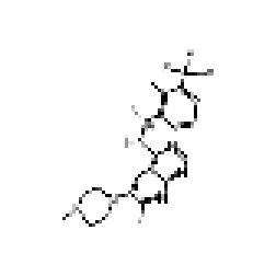 Cc1nc2ncnc(N[C@H](C)c3cccc(C(F)(F)F)c3C)c2cc1N1CCN(C)CC1